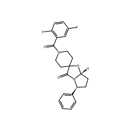 O=C(c1cc(F)ccc1F)N1CCC2(CC1)O[C@@H]1CC[C@@H](c3ccccc3)N1C2=O